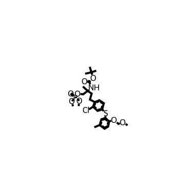 COCOc1ccc(C)cc1Sc1ccc(CCC(C)(COP(=O)(OC)OC)NC(=O)OC(C)(C)C)c(Cl)c1